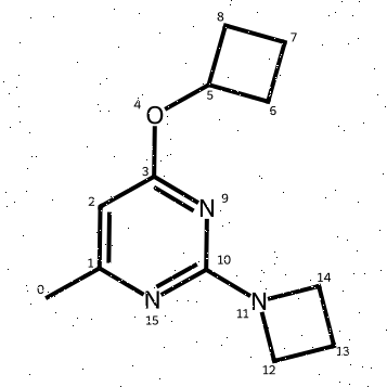 Cc1cc(OC2CCC2)nc(N2CCC2)n1